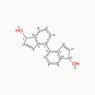 OC1C=Cc2c(-c3cccc4c3C=CC4O)cccc21